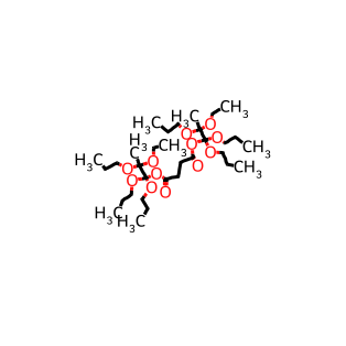 CCCOC(C)(OCC)C(OCCC)(OCCC)OC(=O)CCC(=O)OC(OCCC)(OCCC)C(C)(OCC)OCCC